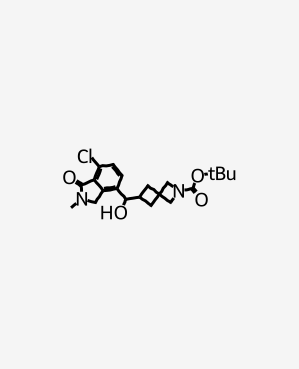 CN1Cc2c(C(O)C3CC4(C3)CN(C(=O)OC(C)(C)C)C4)ccc(Cl)c2C1=O